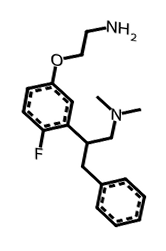 CN(C)CC(Cc1ccccc1)c1cc(OCCN)ccc1F